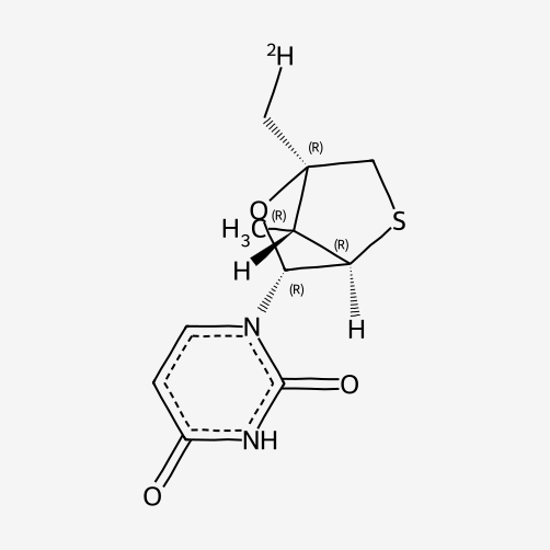 [2H]C[C@@]12CS[C@@H]([C@H](n3ccc(=O)[nH]c3=O)O1)[C@@H]2C